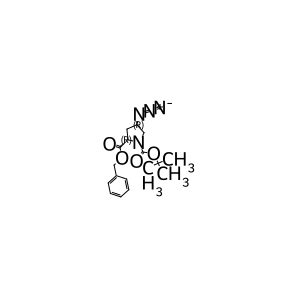 CC(C)(C)OC(=O)N1C[C@H](N=[N+]=[N-])C[C@@H]1C(=O)OCc1ccccc1